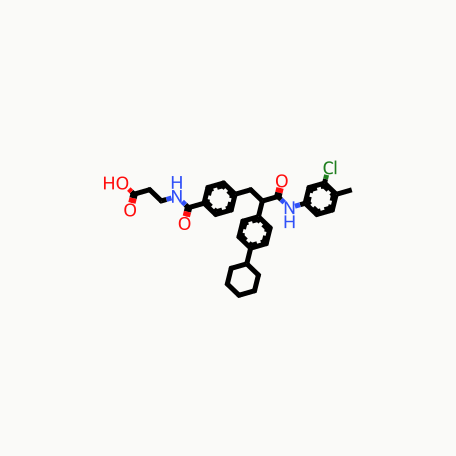 Cc1ccc(NC(=O)C(Cc2ccc(C(=O)NCCC(=O)O)cc2)c2ccc(C3CCCCC3)cc2)cc1Cl